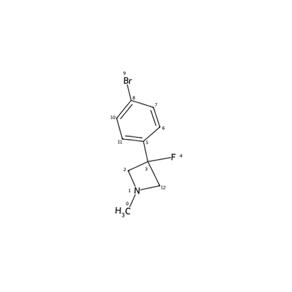 CN1CC(F)(c2ccc(Br)cc2)C1